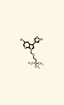 C[Si](C)(C)CCOCn1cc(-c2cn[nH]c2)c2cc(Br)cnc21